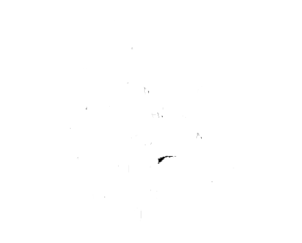 CC(C)(C)OC(=O)[C@@H]1CCCN1C(=O)NN=C(c1ccccc1)c1ccccc1